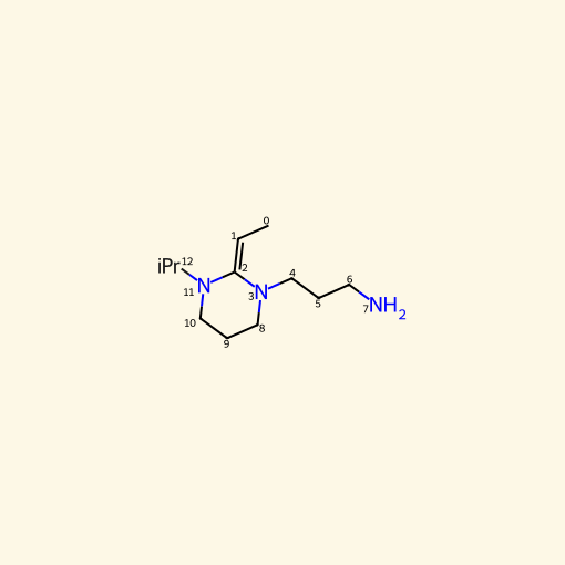 C/C=C1\N(CCCN)CCCN1C(C)C